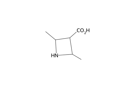 CC1NC(C)C1C(=O)O